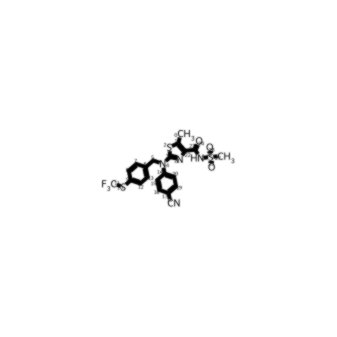 Cc1sc(N(Cc2ccc(SC(F)(F)F)cc2)c2ccc(C#N)cc2)nc1C(=O)NS(C)(=O)=O